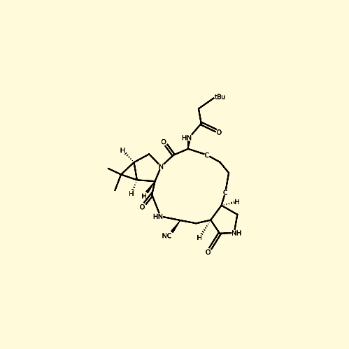 CC(C)(C)CC(=O)N[C@H]1CCCC[C@H]2CNC(=O)[C@H]2C[C@@H](C#N)NC(=O)[C@@H]2[C@@H]3[C@H](CN2C1=O)C3(C)C